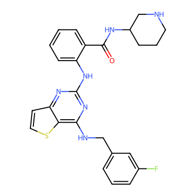 O=C(NC1CCCNC1)c1ccccc1Nc1nc(NCc2cccc(F)c2)c2sccc2n1